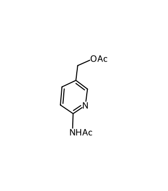 CC(=O)Nc1ccc(COC(C)=O)cn1